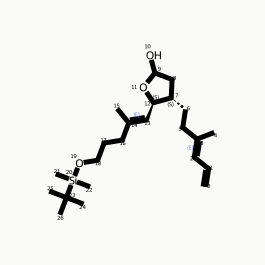 C=C/C=C(\C)CC[C@H]1CC(O)O[C@@H]1/C=C(\C)CCCO[Si](C)(C)C(C)(C)C